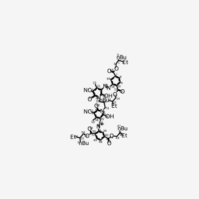 CCCCC(CC)COC(=O)c1ccc(C(=O)OCC(CC)CCCC)c(/N=N/c2c(C)c(C#N)c(=O)n(CCCn3c(O)c(/N=N/c4cc(C(=O)OCC(CC)CCCC)ccc4C(=O)OCC(CC)CCCC)c(C)c(C#N)c3=O)c2O)c1